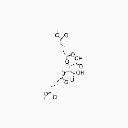 COC(=O)CCCC(=O)OC(C(=O)O)C(OC(=O)CCCC(=O)OC)C(=O)O